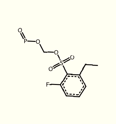 CCc1cccc(F)c1S(=O)(=O)OCOP=O